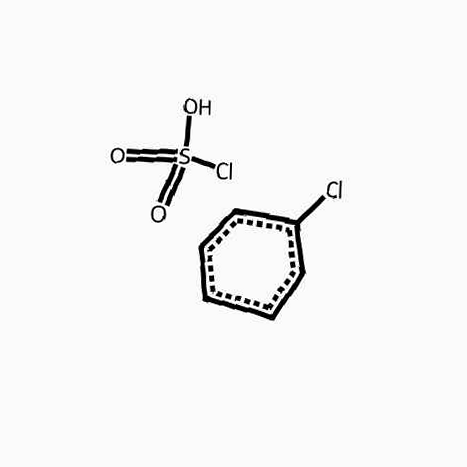 Clc1ccccc1.O=S(=O)(O)Cl